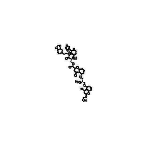 O=C(OCC(Nc1ccnc(-n2ccnc2)n1)C(=O)NCCc1ccc2c(c1)OCO2)c1cc(=O)c2c(OCC(O)COc3cccc4oc(OCO)cc(=O)c34)cccc2o1